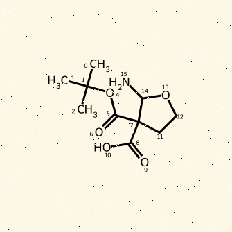 CC(C)(C)OC(=O)C1(C(=O)O)CCOC1N